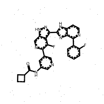 O=C(Nc1cncc(-c2ncc3[nH]nc(-c4nc5c(-c6ccccc6F)nccc5[nH]4)c3c2F)c1)C1CCC1